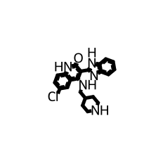 O=c1[nH]c2ccc(Cl)cc2c(NCC2CCNCC2)c1-c1nc2ccccc2[nH]1